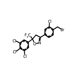 FC(F)(F)C1(c2cc(Cl)c(Cl)c(Cl)c2)CC(c2ccc(CBr)c(Cl)c2)=NO1